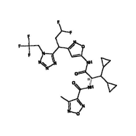 Cc1nonc1C(=O)N[C@H](C(=O)Nc1cc(C(CC(F)F)c2nnnn2CC(F)(F)F)no1)C(C1CC1)C1CC1